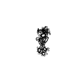 O=C1O[C@@H](COC(c2ccccc2)(c2ccccc2)c2ccccc2)[C@@H]2COc3cc(N4[C@@H]5CC[C@H]4CSC5)c(F)cc3N12